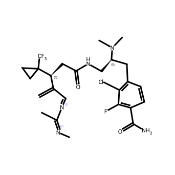 C=C(/C=N\C(C)=N/C)[C@H](CC(=O)NC[C@H](Cc1ccc(C(N)=O)c(F)c1Cl)N(C)C)C1(C(F)(F)F)CC1